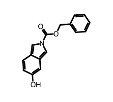 O=C(OCc1ccccc1)n1cc2ccc(O)cc2c1